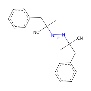 CC(C#N)(Cc1ccccc1)/N=N/C(C)(C#N)Cc1ccccc1